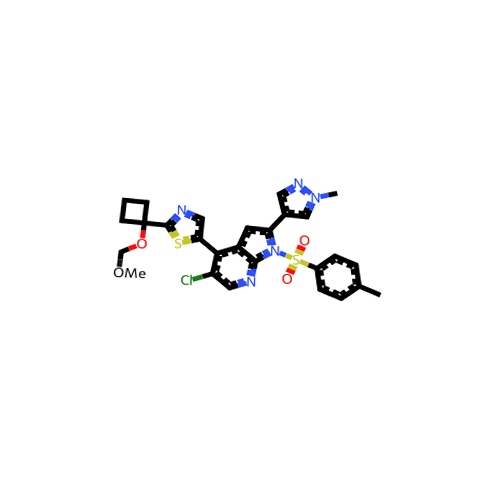 COCOC1(c2ncc(-c3c(Cl)cnc4c3cc(-c3cnn(C)c3)n4S(=O)(=O)c3ccc(C)cc3)s2)CCC1